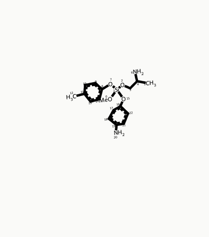 CO[Si](OCC(C)N)(Oc1ccc(C)cc1)Oc1ccc(N)cc1